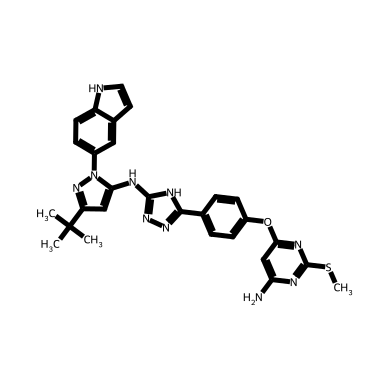 CSc1nc(N)cc(Oc2ccc(-c3nnc(Nc4cc(C(C)(C)C)nn4-c4ccc5[nH]ccc5c4)[nH]3)cc2)n1